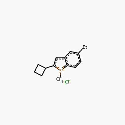 CCc1ccc2c(c1)cc(C1CCC1)[s+]2C(F)(F)F.[Cl-]